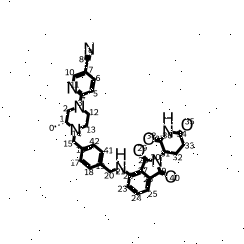 C[C@@H]1CN(c2ccc(C#N)cn2)CCN1Cc1ccc(CNc2cccc3c2C(=O)N(C2CCC(=O)NC2=O)C3=O)cc1